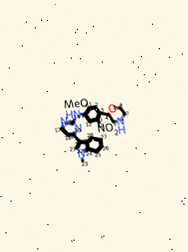 COc1cc(C2CNCCO2)c([N+](=O)[O-])cc1Nc1nccc(-c2cn(C)c3ccccc23)n1